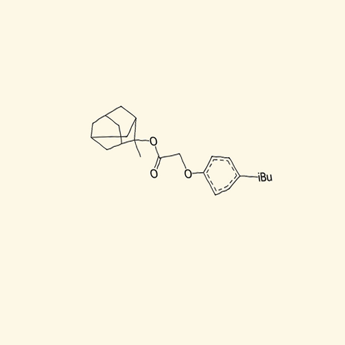 CCC(C)c1ccc(OCC(=O)OC2(C)C3CC4CC(C3)CC2C4)cc1